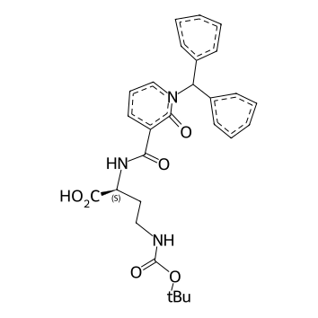 CC(C)(C)OC(=O)NCC[C@H](NC(=O)c1cccn(C(c2ccccc2)c2ccccc2)c1=O)C(=O)O